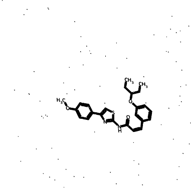 CCC(CC)Oc1cccc(/C=C\C(=O)Nc2nc(-c3ccc(OC)cc3)cs2)c1